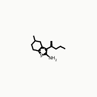 C=C(CCC)c1c(N)sc2c1CC(C)CC2